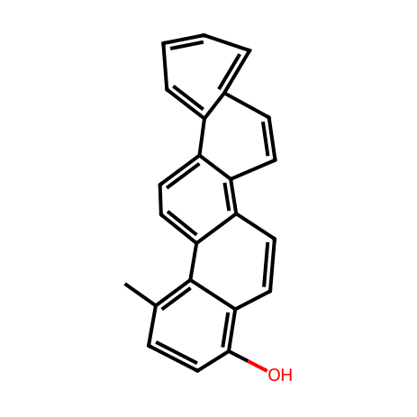 Cc1ccc(O)c2ccc3c4ccc5ccccc5c4ccc3c12